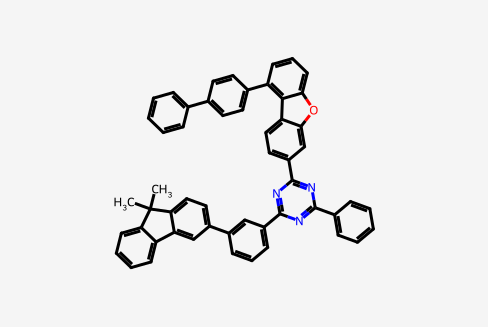 CC1(C)c2ccccc2-c2cc(-c3cccc(-c4nc(-c5ccccc5)nc(-c5ccc6c(c5)oc5cccc(-c7ccc(-c8ccccc8)cc7)c56)n4)c3)ccc21